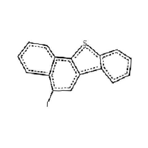 Ic1cc2c3ccccc3sc2c2ccccc12